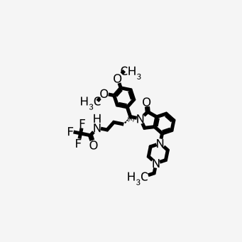 CCN1CCN(c2cccc3c2CN([C@H](CCCNC(=O)C(F)(F)F)c2ccc(OC)c(OC)c2)C3=O)CC1